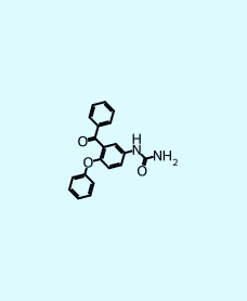 NC(=O)Nc1ccc(Oc2ccccc2)c(C(=O)c2ccccc2)c1